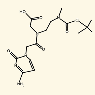 CN(CCN(CC(=O)O)C(=O)Cn1ccc(N)nc1=O)C(=O)OC(C)(C)C